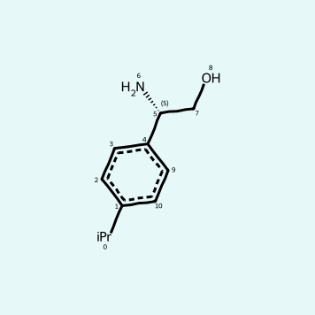 CC(C)c1ccc([C@H](N)CO)cc1